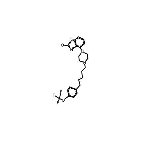 [O]c1nc2c(N3CCN(CCCCCc4ccc(OC(F)(F)F)cc4)CC3)cccc2s1